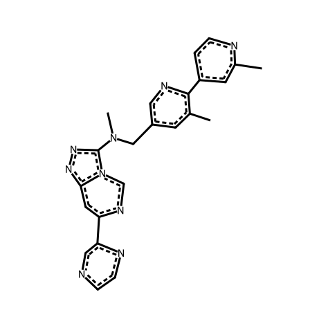 Cc1cc(-c2ncc(CN(C)c3nnc4cc(-c5cnccn5)ncn34)cc2C)ccn1